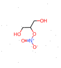 O=[N+]([O-])OC(CO)CO